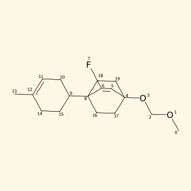 COCOC12C=C(F)C(C3CC=C(C)CC3)(CC1)CC2